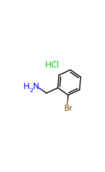 Cl.NCc1ccccc1Br